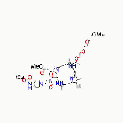 CCC1=C(C)c2cc3[nH]c(cc4nc(c5c6[nH]c(cc1n2)c(C)c6C(=O)N(CCN1CCC(NC(=O)OC(C)(C)C)CC1)C5=O)[C@@H](CCC(=O)OC)[C@@H]4C)c(C)c3C(C)OCCOCCOCCOC